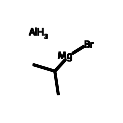 C[CH](C)[Mg][Br].[AlH3]